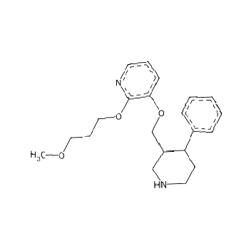 COCCCOc1ncccc1OCC1CNCCC1c1ccccc1